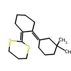 CC1(C)CCCC(=C2CCCCC2=C2SCCCS2)C1